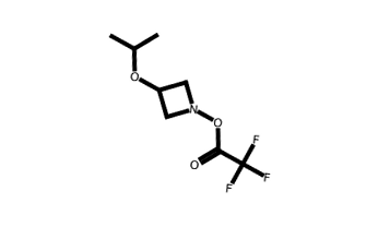 CC(C)OC1CN(OC(=O)C(F)(F)F)C1